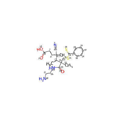 CC(C(C)(C#N)CCC(=O)O)C(C)(CSC(=S)c1ccccc1)C(=O)NCCN